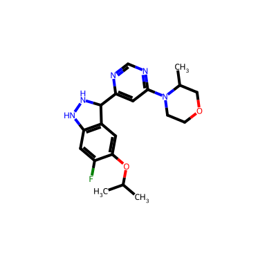 CC(C)Oc1cc2c(cc1F)NNC2c1cc(N2CCOCC2C)ncn1